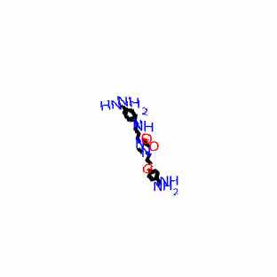 N=C(N)c1ccc(NCCCN2CCN(CCCOc3ccc(C(=N)N)cc3)C(=O)C2=O)cc1